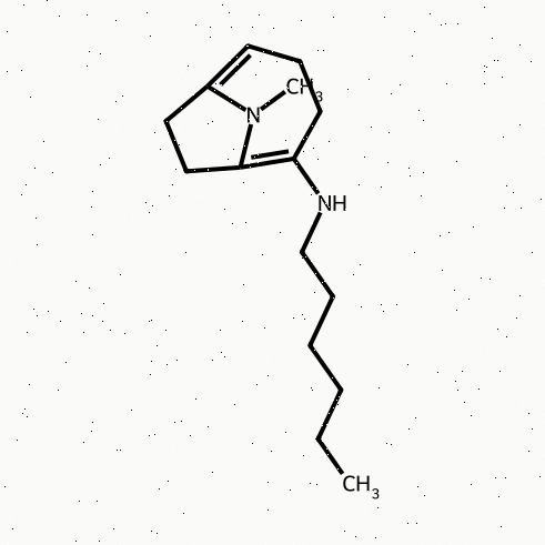 CCCCCCNC1=C2CCC(=CCC1)N2C